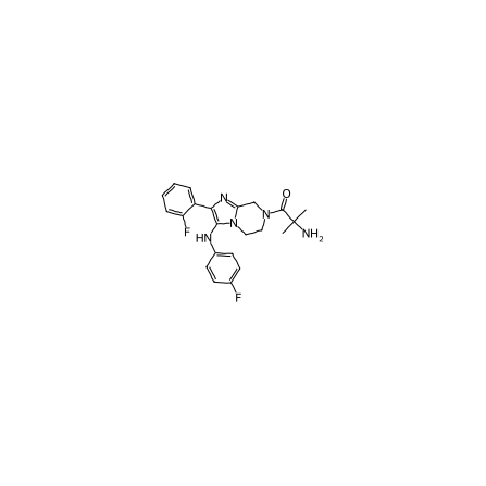 CC(C)(N)C(=O)N1CCn2c(nc(-c3ccccc3F)c2Nc2ccc(F)cc2)C1